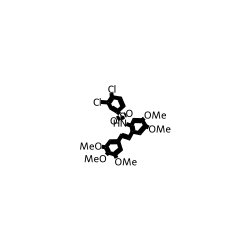 COc1cc(C=Cc2cc(OC)c(OC)c(OC)c2)c(NS(=O)(=O)c2ccc(Cl)c(Cl)c2)cc1OC